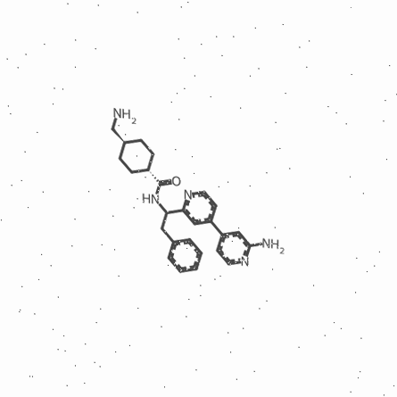 NC[C@H]1CC[C@H](C(=O)NC(Cc2ccccc2)c2cc(-c3ccnc(N)c3)ccn2)CC1